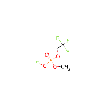 COP(=O)(OF)OCC(F)(F)F